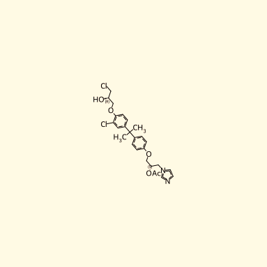 CC(=O)O[C@H](COc1ccc(C(C)(C)c2ccc(OC[C@@H](O)CCl)c(Cl)c2)cc1)Cn1ccnc1